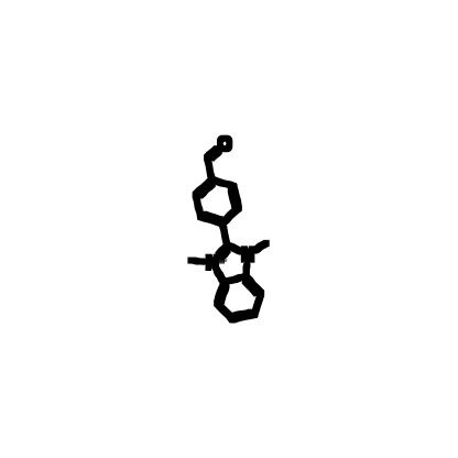 Cn1c(-c2ccc(C=O)cc2)[n+](C)c2ccccc21